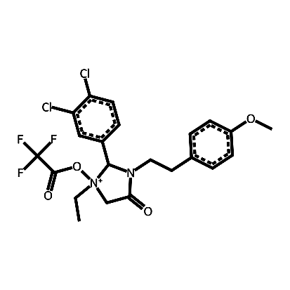 CC[N+]1(OC(=O)C(F)(F)F)CC(=O)N(CCc2ccc(OC)cc2)C1c1ccc(Cl)c(Cl)c1